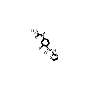 CN(C(N)=S)c1ccc([S+]([O-])Nc2nccs2)c(F)c1